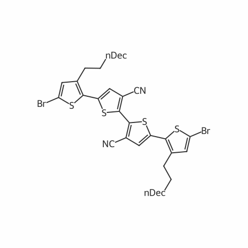 CCCCCCCCCCCCc1cc(Br)sc1-c1cc(C#N)c(-c2sc(-c3sc(Br)cc3CCCCCCCCCCCC)cc2C#N)s1